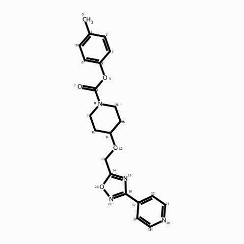 Cc1ccc(OC(=O)N2CCC(OCc3nc(-c4ccncc4)no3)CC2)cc1